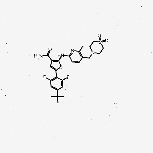 Cc1nc(Nc2sc(-c3c(F)cc(C(C)(C)C)cc3F)cc2C(N)=O)ccc1CN1CCS(=O)(=O)CC1